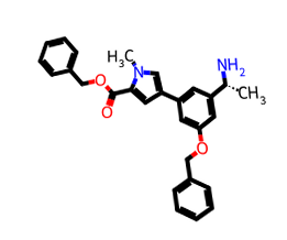 C[C@@H](N)c1cc(OCc2ccccc2)cc(-c2cc(C(=O)OCc3ccccc3)n(C)c2)c1